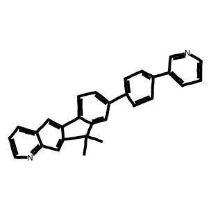 CC1(C)c2cc(-c3ccc(-c4cccnc4)cc3)ccc2-c2cc3cccnc3cc21